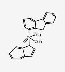 [CH2]=[Ti]([CH]=O)([CH]=O)([c]1cccc2c1Cc1ccccc1-2)[CH]1C=Cc2ccccc21